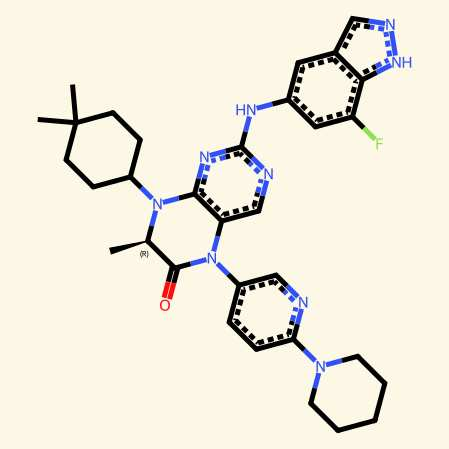 C[C@@H]1C(=O)N(c2ccc(N3CCCCC3)nc2)c2cnc(Nc3cc(F)c4[nH]ncc4c3)nc2N1C1CCC(C)(C)CC1